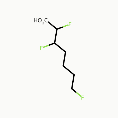 O=C(O)C(F)C(F)CCCCF